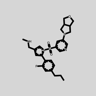 CCCc1ccc(-c2cc(CNC)cn2S(=O)(=O)c2cncc(N3CC4COCC4C3)c2)c(F)c1